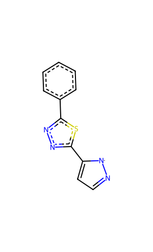 C1=N[N]C(c2nnc(-c3ccccc3)s2)=C1